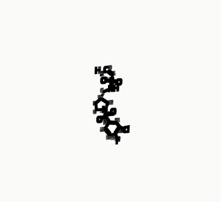 C=CS(=O)(=O)NC[C@H]1CCN(S(=O)(=O)c2ccc(F)c(Cl)c2)C1